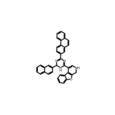 C1=C(C2=NC(c3ccc4c(ccc5ccccc54)c3)=NC(c3ccc4ccccc4c3)N2)c2c(oc3ccccc23)CN1